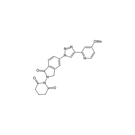 COc1ccnc(-c2cn(-c3ccc4c(c3)CN(N3C(=O)CCCC3=O)C4=O)nn2)c1